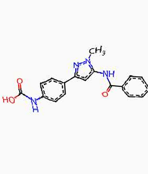 Cn1nc(-c2ccc(NC(=O)O)cc2)cc1NC(=O)c1ccccc1